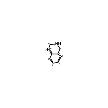 C1=CC2=[N+]CNCC2C=C1